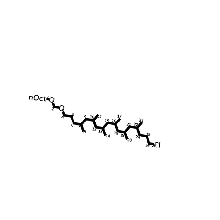 CCCCCCCCOCOCCCC(C)CC(C)CC(C)CC(C)CC(C)CC(C)CCCCl